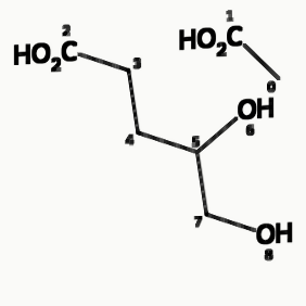 CC(=O)O.O=C(O)CCC(O)CO